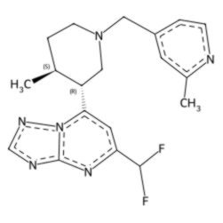 Cc1cc(CN2CC[C@H](C)[C@@H](c3cc(C(F)F)nc4ncnn34)C2)ccn1